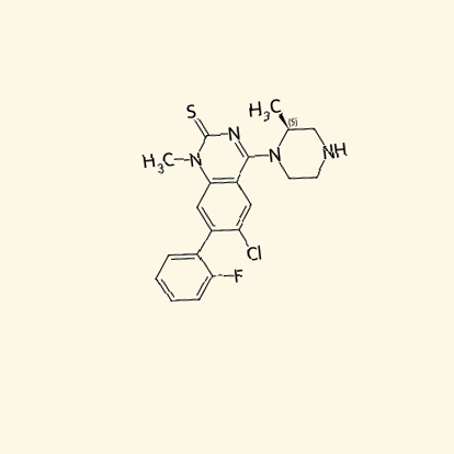 C[C@H]1CNCCN1c1nc(=S)n(C)c2cc(-c3ccccc3F)c(Cl)cc12